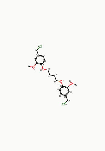 COc1cc(CCl)ccc1OCCCCOc1ccc(CCl)cc1OC